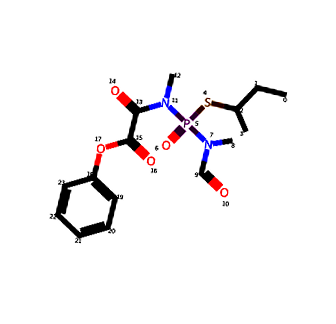 CCC(C)SP(=O)(N(C)C=O)N(C)C(=O)C(=O)Oc1ccccc1